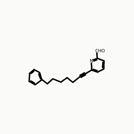 O=Cc1cccc(C#CCCCCCc2ccccc2)n1